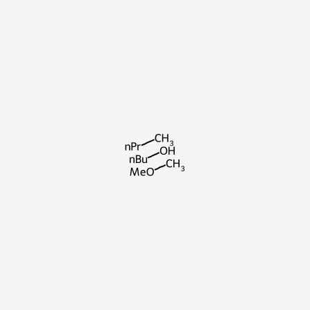 CCCC.CCCCO.COC